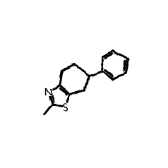 Cc1nc2c(s1)CC(c1ccccc1)CC2